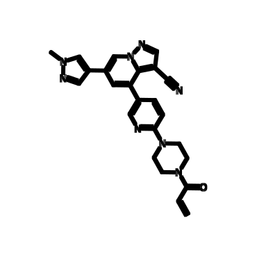 C=CC(=O)N1CCN(c2ccc(-c3cc(-c4cnn(C)c4)cn4ncc(C#N)c34)cn2)CC1